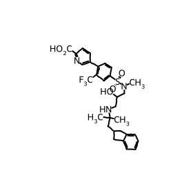 CN(CC(O)CNC(C)(C)CC1Cc2ccccc2C1)S(=O)(=O)c1ccc(-c2ccc(C(=O)O)nc2)c(C(F)(F)F)c1